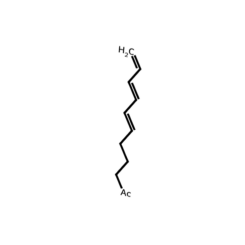 C=CC=CC=CCCCC(C)=O